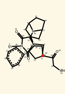 CCN1C(=O)N(CC(C)C)C2(CC3CCC(C2)N3C[C@H]2CN(C(=O)CC(C)(C)C)C[C@@H]2c2ccccc2)C1=O